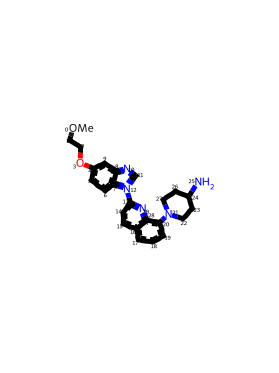 COCCOc1ccc2c(c1)ncn2-c1ccc2cccc(N3CCC(N)CC3)c2n1